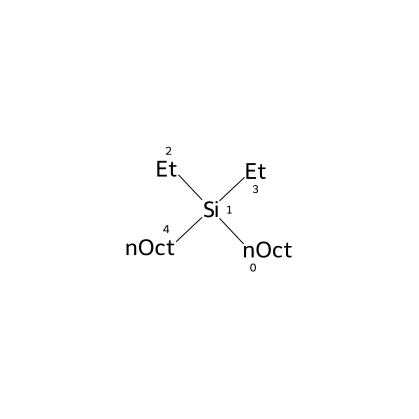 CCCCCCCC[Si](CC)(CC)CCCCCCCC